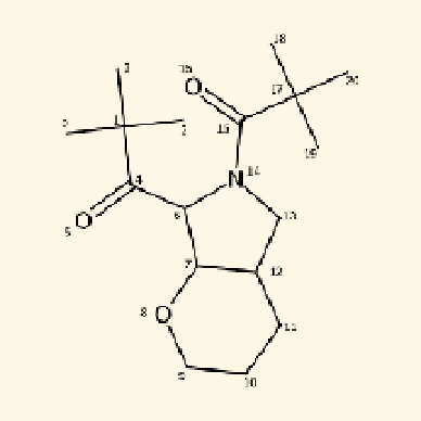 CC(C)(C)C(=O)C1C2OCCCC2CN1C(=O)C(C)(C)C